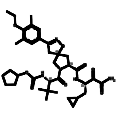 CCOc1c(C)cc(C2=NO[C@]3(C2)C[C@@H](C(=O)N[C@@H](CC2CC2)C(=O)C(N)=O)N(C(=O)[C@@H](NC(=O)OC2CCCC2)C(C)(C)C)C3)cc1C